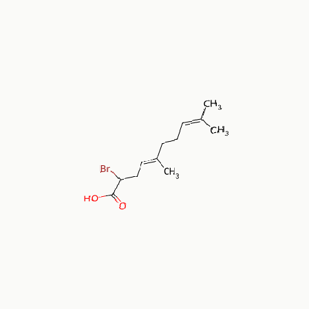 CC(C)=CCC/C(C)=C/CC(Br)C(=O)O